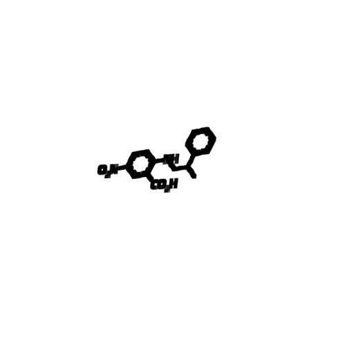 CC(CNc1ccc([N+](=O)[O-])cc1C(=O)O)c1ccccc1